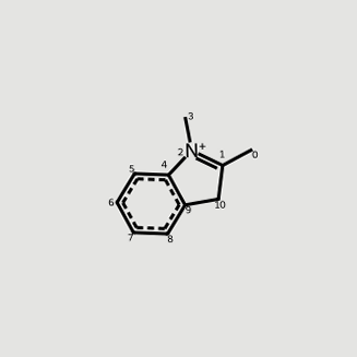 CC1=[N+](C)c2ccccc2C1